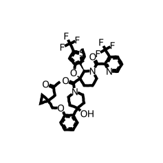 CCC[C@H]1N(C(=O)c2ncccc2C(F)(F)F)CCC[C@@]1(Oc1csc(C(F)(F)F)c1)C(=O)N1CCC(O)(c2ccccc2OCC2(CC(C)=O)CC2)CC1